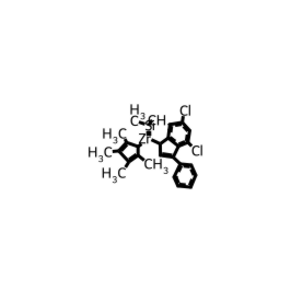 CC1=C(C)[CH]([Zr]([CH]2C=C(c3ccccc3)c3c(Cl)cc(Cl)cc32)=[Si](C)C)C(C)=C1C